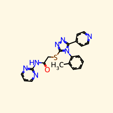 Cc1ccccc1-n1c(SCC(=O)Nc2ncccn2)nnc1-c1ccncc1